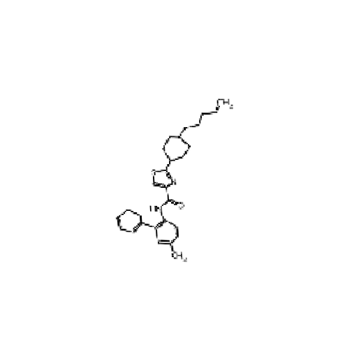 C=CCCCC1CCC(c2nc(C(=O)Nc3ccc(C)cc3C3=CC=CCC3)cs2)CC1